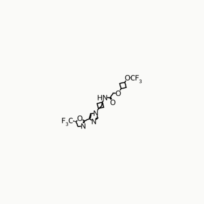 O=C(COC1CC(OC(F)(F)F)C1)NC12CC(n3cnc(C4=NC[C@@H](C(F)(F)F)O4)c3)(C1)C2